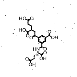 O=C(O)CCC(CC(=O)c1cc(C(=O)O)cc(C(=O)N[C@@H](CCC(=O)O)C(=O)O)c1)C(=O)O